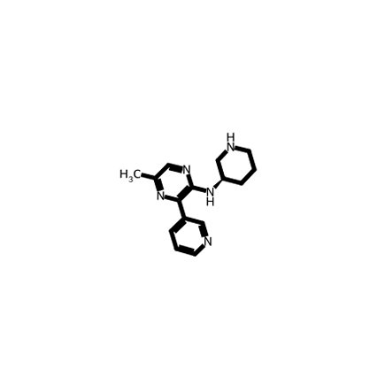 Cc1cnc(N[C@@H]2CCCNC2)c(-c2cccnc2)n1